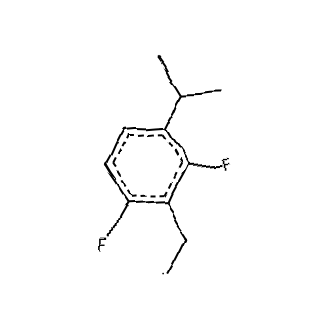 [CH2]Cc1c(F)ccc(C(C)C)c1F